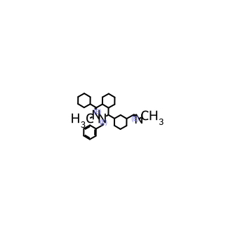 C/N=C/C1CCCC(C(/N=C/c2ccccc2)C2CCCCC2/C(=N/C)C2CCCCC2)C1